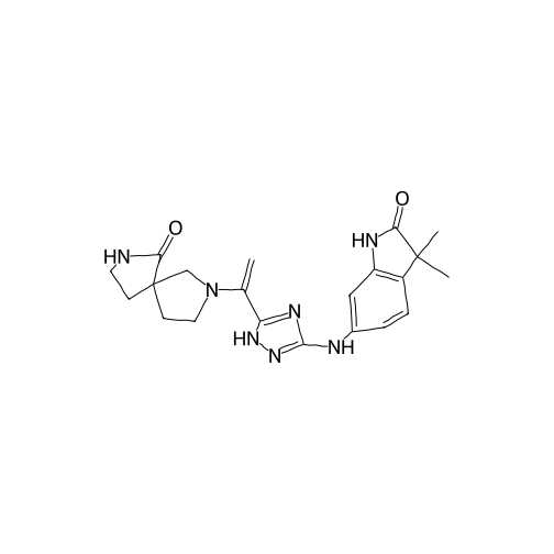 C=C(c1nc(Nc2ccc3c(c2)NC(=O)C3(C)C)n[nH]1)N1CCC2(CCNC2=O)C1